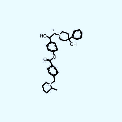 CC1CCCCN1Cc1ccc(C(=O)Oc2ccc(C(O)[C@H](C)N3CCC(O)(c4ccccc4)CC3)cc2)cc1